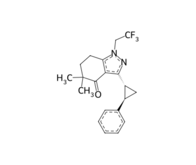 CC1(C)CCc2c(c([C@@H]3C[C@H]3c3ccccc3)nn2CC(F)(F)F)C1=O